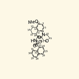 COc1ccc(N2CCOCC2)c2c1CCCC2C(=O)NS(=O)(=O)c1cccc2ccccc12